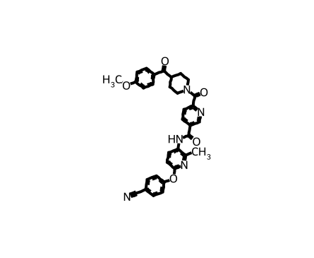 COc1ccc(C(=O)C2CCN(C(=O)c3ccc(C(=O)Nc4ccc(Oc5ccc(C#N)cc5)nc4C)cn3)CC2)cc1